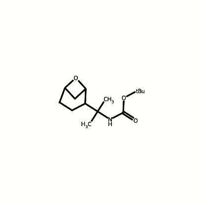 CC(C)(C)OC(=O)NC(C)(C)C1CCC2CC1O2